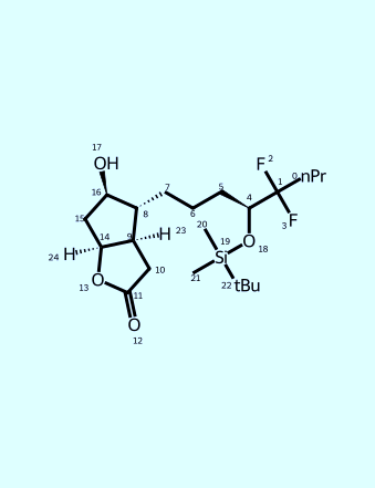 CCCC(F)(F)[C@H](CCC[C@@H]1[C@H]2CC(=O)O[C@H]2C[C@H]1O)O[Si](C)(C)C(C)(C)C